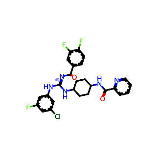 O=C(/N=C(/Nc1cc(F)cc(Cl)c1)NC1CCC(NC(=O)c2ccccn2)CC1)c1ccc(F)c(F)c1